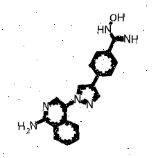 N=C(NO)c1ccc(-c2cnn(-c3cnc(N)c4ccccc34)c2)cc1